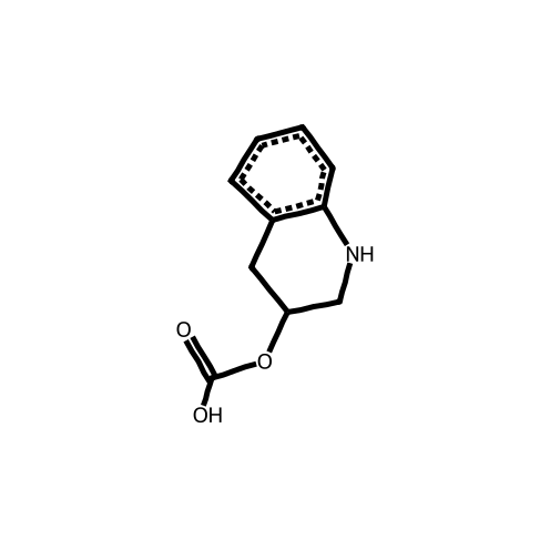 O=C(O)OC1CNc2ccccc2C1